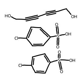 O=S(=O)(O)c1ccc(Cl)cc1.O=S(=O)(O)c1ccc(Cl)cc1.OCC#CC#CCO